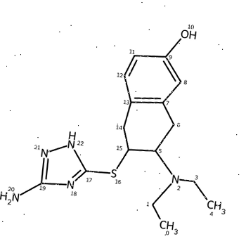 CCN(CC)C1Cc2cc(O)ccc2CC1Sc1nc(N)n[nH]1